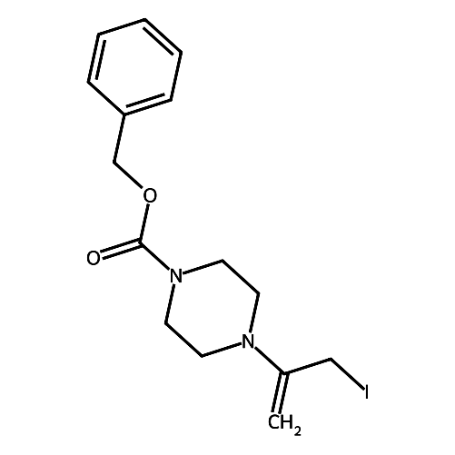 C=C(CI)N1CCN(C(=O)OCc2ccccc2)CC1